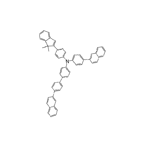 CC1(C)C(c2ccc(N(c3ccc(-c4ccc(-c5ccc6ccccc6c5)cc4)cc3)c3ccc(-c4ccc5ccccc5c4)cc3)cc2)=Cc2ccccc21